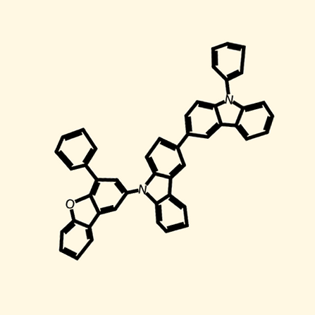 c1ccc(-c2cc(-n3c4ccccc4c4cc(-c5ccc6c(c5)c5ccccc5n6-c5ccccc5)ccc43)cc3c2oc2ccccc23)cc1